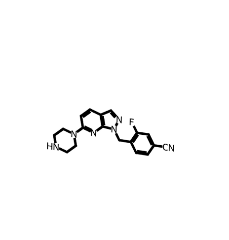 N#Cc1ccc(Cn2ncc3ccc(N4CCNCC4)nc32)c(F)c1